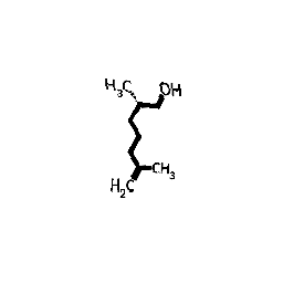 C=C(C)CCC[C@H](C)CO